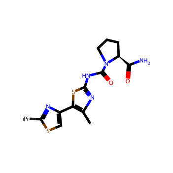 Cc1nc(NC(=O)N2CCC[C@H]2C(N)=O)sc1-c1csc(C(C)C)n1